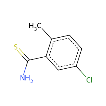 Cc1ccc(Cl)cc1C(N)=S